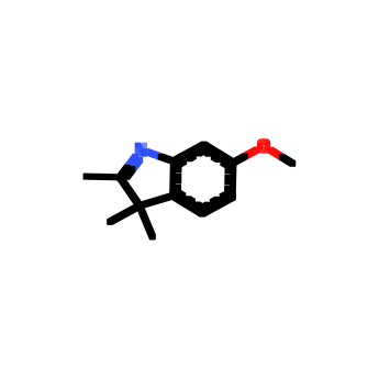 COc1ccc2c(c1)N=C(C)C2(C)C